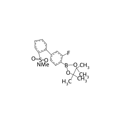 CNS(=O)(=O)c1ccccc1-c1ccc(B2OC(C)(C)C(C)(C)O2)c(F)c1